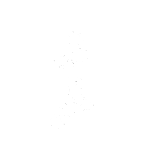 c1ccc(-c2ccc(-n3c4ccncc4c4cc(-c5ccc6c(c5)c5ccccc5n6-c5cccc(-c6ccccc6)c5)ccc43)cc2)cc1